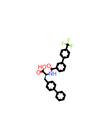 O=C(N[C@@H](Cc1ccc(-c2ccccc2)cc1)C(=O)O)c1cccc(-c2ccc(C(F)(F)F)cc2)c1